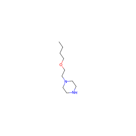 CCCCOCCN1CCNCC1